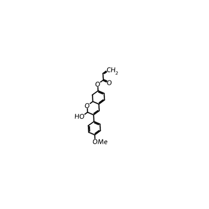 C=CC(=O)OC1=CC=C2C=C(c3ccc(OC)cc3)C(O)OC2C1